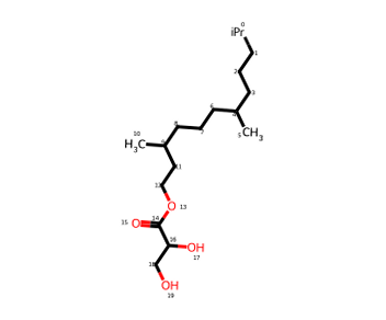 CC(C)CCCC(C)CCCC(C)CCOC(=O)C(O)CO